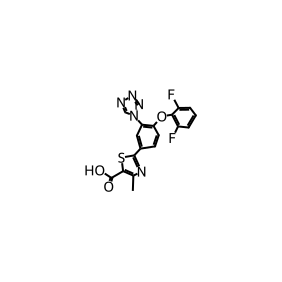 Cc1nc(-c2ccc(Oc3c(F)cccc3F)c(-n3cnnn3)c2)sc1C(=O)O